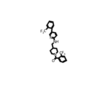 O=C(c1ccccc1C(F)(F)F)N1CCC(CNc2ccc(-c3ccccc3C(F)(F)F)cn2)CC1